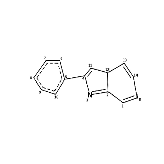 C1=CC2=NC(c3ccccc3)=CC2C=C1